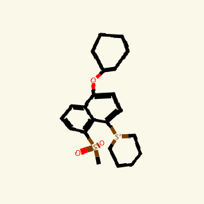 CS(=O)(=O)c1cccc2c(OC3CCCCC3)ccc([S+]3CCCCC3)c12